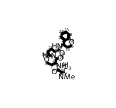 CN[C@@H](C)C(=O)N[C@H]1CCO[C@H]2CC[C@@H](C(=O)N[C@@H]3CCOc4ccccc43)N2C1=O